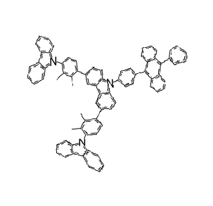 Cc1c(-c2ccc3c(c2)c2cc(-c4ccc(-n5c6ccccc6c6ccccc65)c(C)c4C)ccc2n3-c2ccc(-c3c4ccccc4c(-c4ccccc4)c4ccccc34)cc2)ccc(-n2c3ccccc3c3ccccc32)c1C